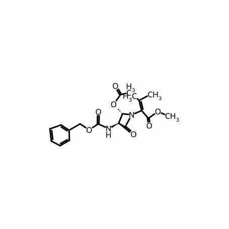 COC(=O)C(=C(C)C)N1C(=O)[C@@H](NC(=O)OCc2ccccc2)[C@@H]1OC(C)=O